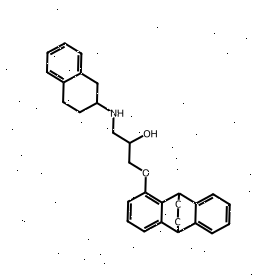 OC(CNC1CCc2ccccc2C1)COc1cccc2c1C1CCC2c2ccccc21